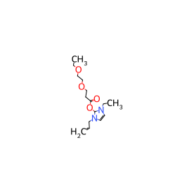 C=CCN1C=CN(CC)C1OC(=O)CCOCCOCC